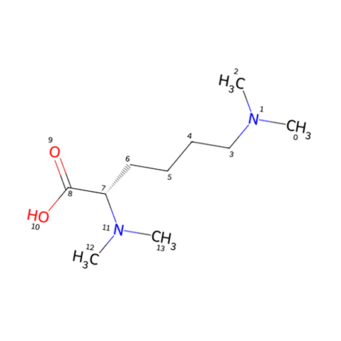 CN(C)CCCC[C@@H](C(=O)O)N(C)C